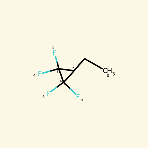 CCC1C(F)(F)C1(F)F